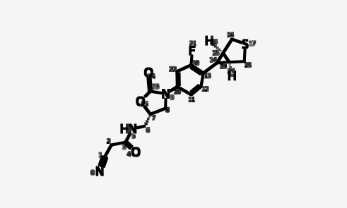 N#CCC(=O)NC[C@H]1CN(c2ccc(C3[C@H]4CSC[C@@H]34)c(F)c2)C(=O)O1